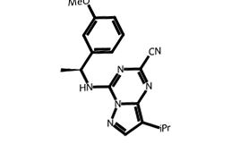 COc1cccc([C@H](C)Nc2nc(C#N)nc3c(C(C)C)cnn23)c1